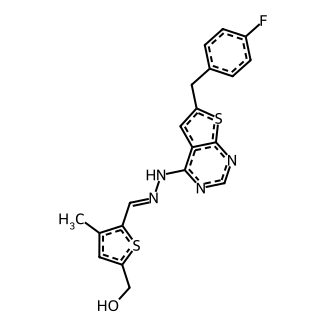 Cc1cc(CO)sc1C=NNc1ncnc2sc(Cc3ccc(F)cc3)cc12